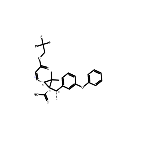 C[C@@H](c1cccc(Oc2ccccc2)c1)[C@@]1(C(=O)O)[C@H](/C=C\C(=O)OCC(F)(F)F)C1(C)C